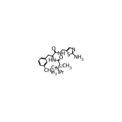 Cc1cccc(C[C@H](NC(=O)[C@H](C)N(C)C(C)C)C(=O)NCc2cnc(N)s2)c1